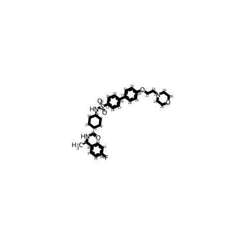 C[C@@H](NC(=O)[C@H]1CC[C@H](NS(=O)(=O)c2ccc(-c3ccc(OCCN4CCOCC4)cc3)cc2)CC1)c1ccc(F)cc1